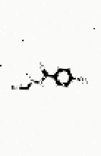 Cc1ccc(C(=O)OO[CH]C(C)(C)C)cc1